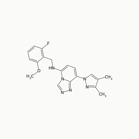 COc1cccc(F)c1CNc1ccc(-n2cc(C)c(C)n2)c2nncn12